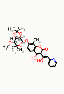 CO[C@@H]1[C@H]2OC(C)(C)O[C@H]2[C@H](Oc2ccc3c(O)c(/C(O)=C/c4ccccn4)c(=O)oc3c2C)OC1(C)C